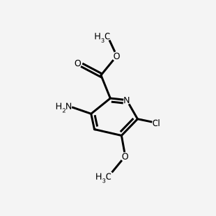 COC(=O)c1nc(Cl)c(OC)cc1N